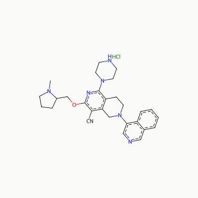 CN1CCCC1COc1nc(N2CCNCC2)c2c(c1C#N)CN(c1cncc3ccccc13)CC2.Cl